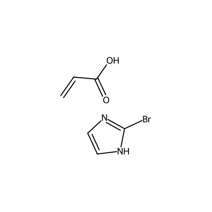 Brc1ncc[nH]1.C=CC(=O)O